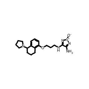 Nc1n[s+]([O-])nc1NCCCOc1cccc2c1CCCC2N1CCCC1